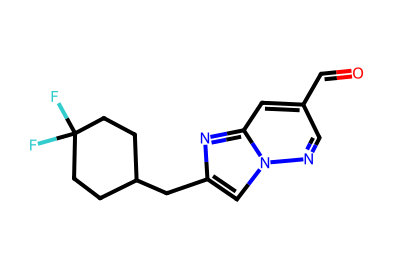 O=Cc1cnn2cc(CC3CCC(F)(F)CC3)nc2c1